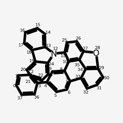 c1ccc(-c2ccc3c(c2)c2c(-n4c5ccccc5c5ccccc54)ccc4oc5cccc3c5c42)cc1